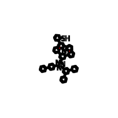 Sc1ccccc1-c1ccc2c(c1)c1ccccc1n2C1=C(c2ccccc2)C=C(c2nc(-c3ccc(-c4ccccc4)cc3)nc(-c3cc(-c4ccccc4)cc(C4C=CC=CC4)c3)n2)CC1c1ccccc1